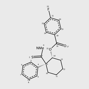 CNC(=S)[C@]1(c2cccnc2)CCCC[C@H]1OC(=O)c1ccc(F)cc1